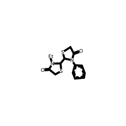 CCN1C(=O)CSC1C1SCC(=O)N1c1ccccc1